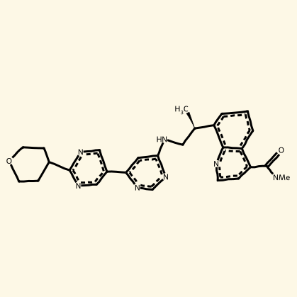 CNC(=O)c1ccnc2c([C@H](C)CNc3cc(-c4cnc(C5CCOCC5)nc4)ncn3)cccc12